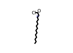 CCCCCCCCCCCC/C=C/C(=O)Cl